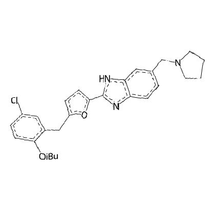 CC(C)COc1ccc(Cl)cc1Cc1ccc(-c2nc3ccc(CN4CCCC4)cc3[nH]2)o1